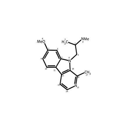 CNC(C)Cn1c2cc(OC)ccc2c2ccnc(C)c21